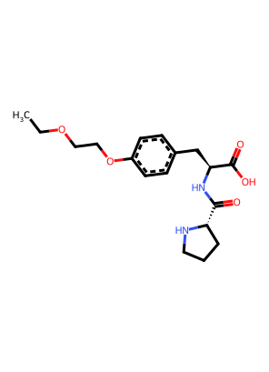 CCOCCOc1ccc(C[C@H](NC(=O)[C@@H]2CCCN2)C(=O)O)cc1